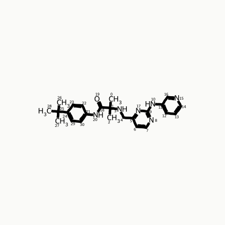 CC(C)(NCc1ccnc(Nc2cccnc2)n1)C(=O)Nc1ccc(C(C)(C)C)cc1